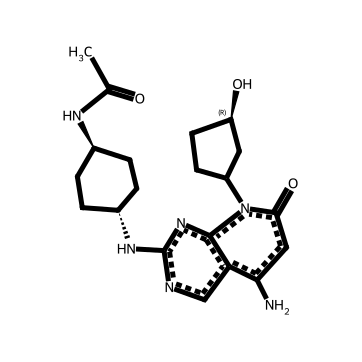 CC(=O)N[C@H]1CC[C@H](Nc2ncc3c(N)cc(=O)n(C4CC[C@@H](O)C4)c3n2)CC1